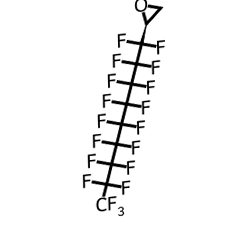 FC(F)(F)C(F)(F)C(F)(F)C(F)(F)C(F)(F)C(F)(F)C(F)(F)C(F)(F)C(F)(F)[C@@H]1CO1